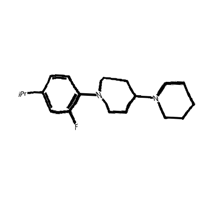 CC(C)c1ccc(N2CCC(N3CCCCC3)CC2)c(F)c1